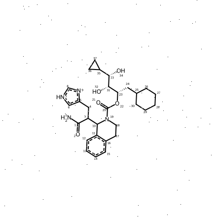 NC(=O)C(Cc1c[nH]cn1)C1c2ccccc2CCN1C(=O)O[C@@H](CC1CCCCC1)[C@H](O)[C@@H](O)C1CC1